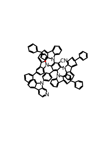 N#Cc1c(-n2c3ccccc3c3cc(-c4ccccc4)ccc32)c(-n2c3ccccc3c3cc(-c4ccccc4)ccc32)c(-c2ccc(-n3c4ccccc4c4ccncc43)cc2)c(-n2c3ccccc3c3cc(-c4ccccc4)ccc32)c1-n1c2ccccc2c2cc(-c3ccccc3)ccc21